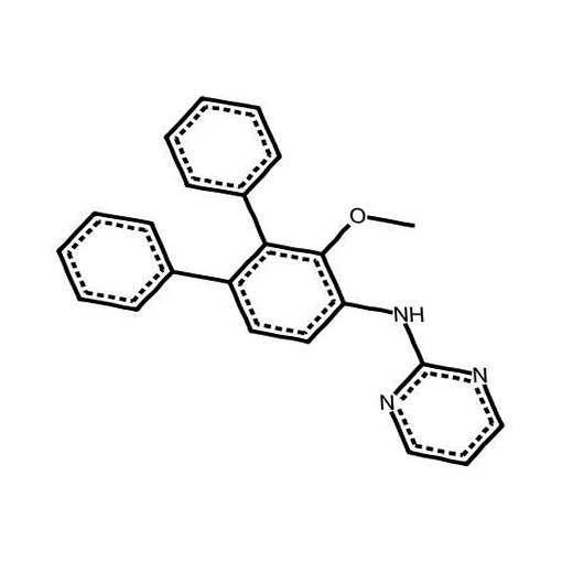 COc1c(Nc2ncccn2)ccc(-c2ccccc2)c1-c1ccccc1